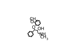 CNCC(O)C(Oc1ccccc1OC)c1ccccc1